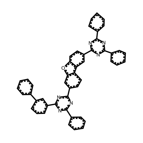 c1ccc(-c2cccc(-c3nc(-c4ccccc4)nc(-c4ccc5c(c4)oc4ccc(-c6nc(-c7ccccc7)nc(-c7ccccc7)n6)cc45)n3)c2)cc1